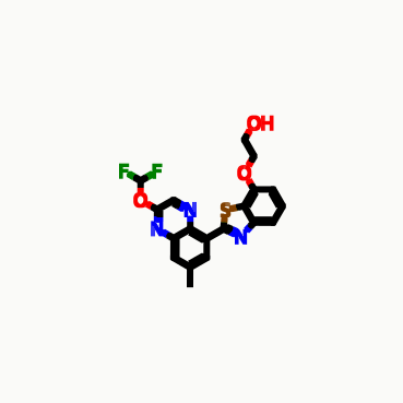 Cc1cc(-c2nc3cccc(OCCO)c3s2)c2ncc(OC(F)F)nc2c1